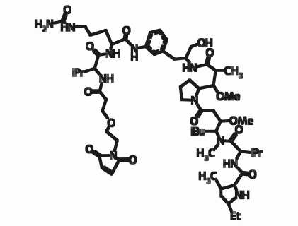 CCC1CC(C)C(C(=O)NC(C(=O)N(C)C(C(C)CC)C(CC(=O)N2CCCC2C(OC)C(C)C(=O)NC(CO)Cc2cccc(NC(=O)C(CCCNC(N)=O)NC(=O)C(NC(=O)CCOCCN3C(=O)C=CC3=O)C(C)C)c2)OC)C(C)C)N1